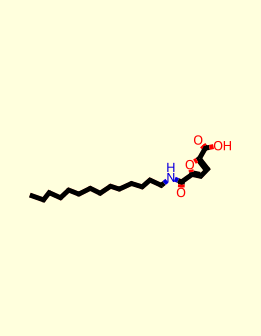 CCCCCCCCCCCCCCNC(=O)c1ccc(C(=O)O)o1